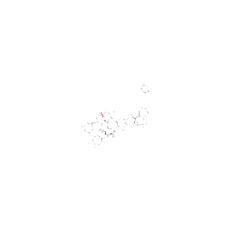 CCCCc1nc2ccc(COc3ccco3)cc2c(=O)n1Cc1ccc(-c2ccccc2-c2nnnn2C(c2ccccc2)(c2ccccc2)c2ccccc2)cc1